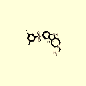 CCN1CCC2Nc3ccc(S(=O)(=O)c4cc(F)cc(F)c4)cc3[C@@H]2CC1